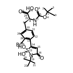 CC(C)(C)OC(=O)N[C@@H](Cc1ccc(C2=CC(=O)N(C(C)(C)C)S2(O)O)c(Br)c1)C(=O)O